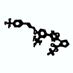 CC(C)(C)OC(=O)N1CCC[C@H]1c1nc(-c2ccc(OC/C=C/c3ccc(C(F)(F)F)cc3)c(C(F)(F)F)c2)no1